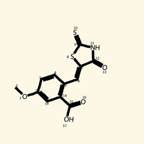 COc1ccc(/C=C2\SC(=S)NC2=O)c(C(=O)O)c1